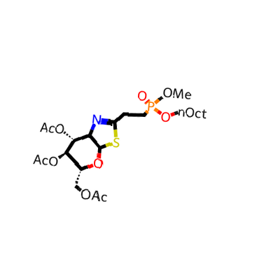 CCCCCCCCOP(=O)(CCC1=NC2C(O[C@H](COC(C)=O)[C@@H](OC(C)=O)[C@@H]2OC(C)=O)S1)OC